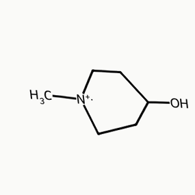 C[N+]1CCC(O)CC1